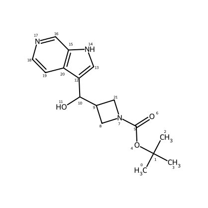 CC(C)(C)OC(=O)N1CC(C(O)c2c[nH]c3cnccc23)C1